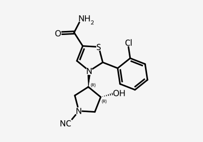 N#CN1C[C@@H](O)[C@H](N2C=C(C(N)=O)SC2c2ccccc2Cl)C1